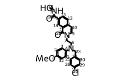 COc1ccc(N(CCn2ccc3ccc(C(=O)NO)cc3c2=O)Cc2ccc(Cl)cc2)cc1